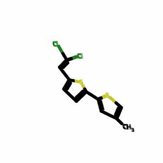 Cc1csc(-c2ccc(C=C(Cl)Cl)s2)c1